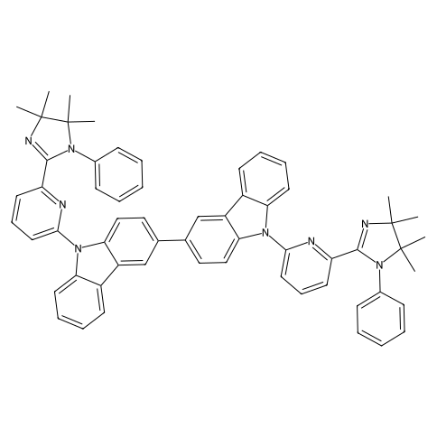 CC1(C)N=C(c2cccc(-n3c4ccccc4c4cc(-c5ccc6c(c5)c5ccccc5n6-c5cccc(C6=NC(C)(C)C(C)(C)N6c6ccccc6)n5)ccc43)n2)N(c2ccccc2)C1(C)C